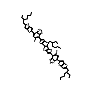 CCCCC(CC)Cc1cc2sc(-c3cc(F)c(-c4cc5c(s4)c4sc6cc(-c7c(F)cc(-c8cc9sc(CC(CC)CCCC)cc9s8)c8nsnc78)sc6c4n5CC(CC)CCCC)c4nsnc34)cc2s1